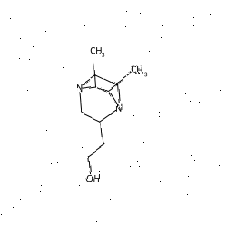 CC1C(C)N2CCN1CC2CCO